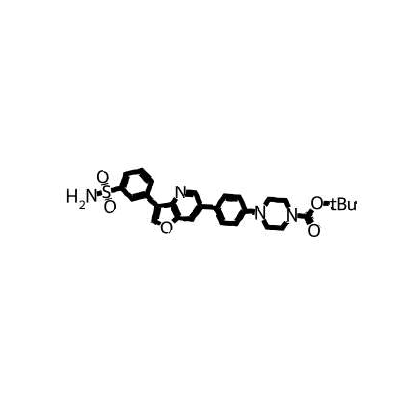 CC(C)(C)OC(=O)N1CCN(c2ccc(-c3cnc4c(-c5cccc(S(N)(=O)=O)c5)coc4c3)cc2)CC1